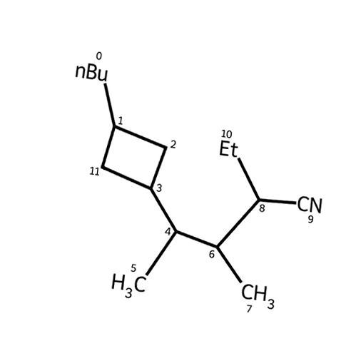 CCCCC1CC(C(C)C(C)C(C#N)CC)C1